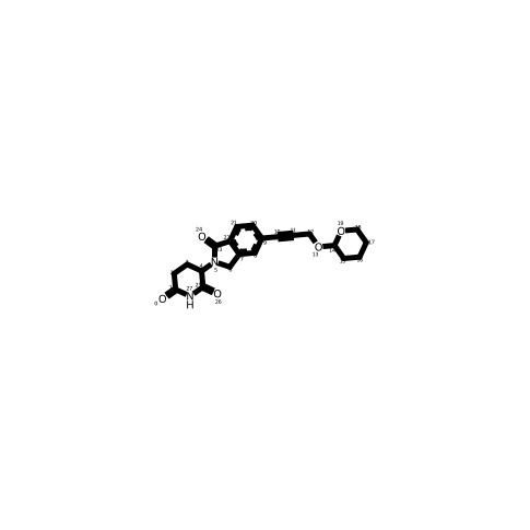 O=C1CCC(N2Cc3cc(C#CCOC4CCCCO4)ccc3C2=O)C(=O)N1